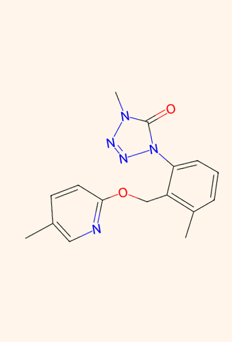 Cc1ccc(OCc2c(C)cccc2-n2nnn(C)c2=O)nc1